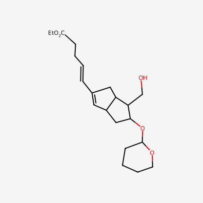 CCOC(=O)CCC=CC1=CC2CC(OC3CCCCO3)C(CO)C2C1